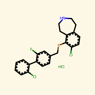 Cl.Fc1cc(CSc2c(Cl)ccc3c2CCNCC3)ccc1-c1ccccc1Cl